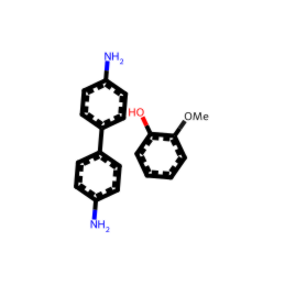 COc1ccccc1O.Nc1ccc(-c2ccc(N)cc2)cc1